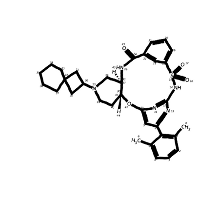 Cc1cccc(C)c1-c1cc2nc(n1)NS(=O)(=O)c1cccc(c1)C(=O)N[C@@H]1CN(C3CC4(CCCCC4)C3)CC[C@H]1O2